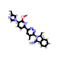 COc1nc(-c2cc(C)c(N3C(=N)c4ccccc4C3C)nn2)ccc1-n1cnc(C)c1